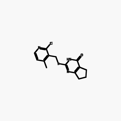 Cc1ccnc(Cl)c1CSc1nc2c(c(=O)[nH]1)CCC2